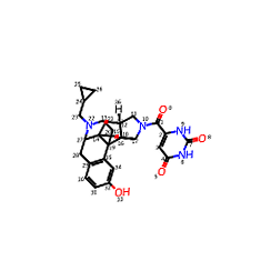 O=C(c1cc(=O)[nH]c(=O)[nH]1)N1C[C@H]2CC34CCC1C2C31CCN(CC2CC2)C4Cc2ccc(O)cc21